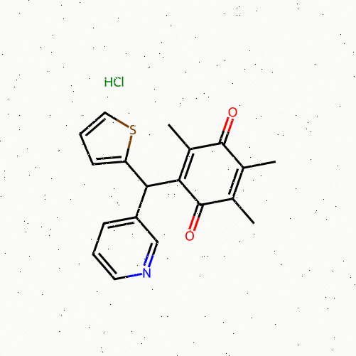 CC1=C(C)C(=O)C(C(c2cccnc2)c2cccs2)=C(C)C1=O.Cl